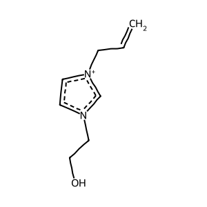 C=CC[n+]1ccn(CCO)c1